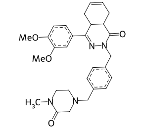 COc1ccc(C2=NN(Cc3ccc(CN4CCN(C)C(=O)C4)cc3)C(=O)C3CC=CCC23)cc1OC